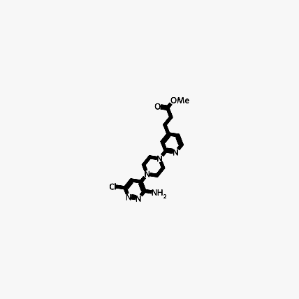 COC(=O)CCc1ccnc(N2CCN(c3cc(Cl)nnc3N)CC2)c1